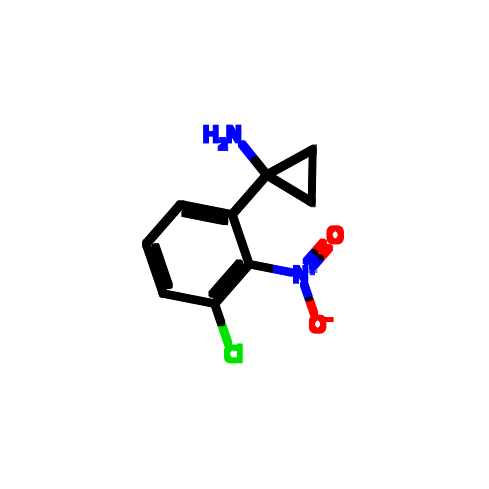 NC1(c2cccc(Cl)c2[N+](=O)[O-])CC1